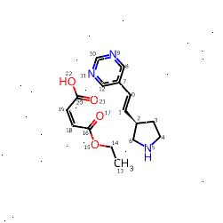 C(=C\[C@H]1CCNC1)/c1cncnc1.CCOC(=O)/C=C\C(=O)O